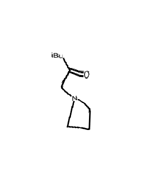 CCC(C)C(=O)CN1CCC1